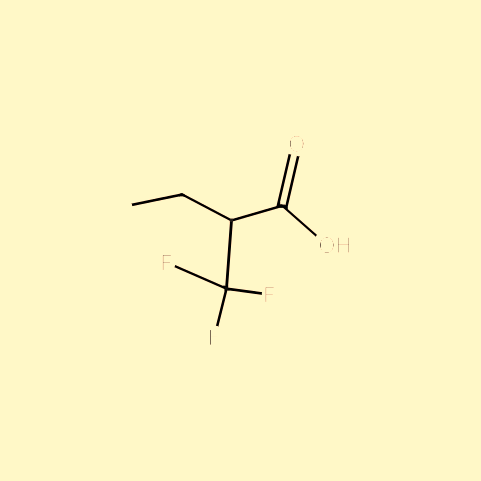 CCC(C(=O)O)C(F)(F)F